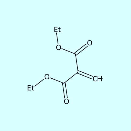 [CH]=C(C(=O)OCC)C(=O)OCC